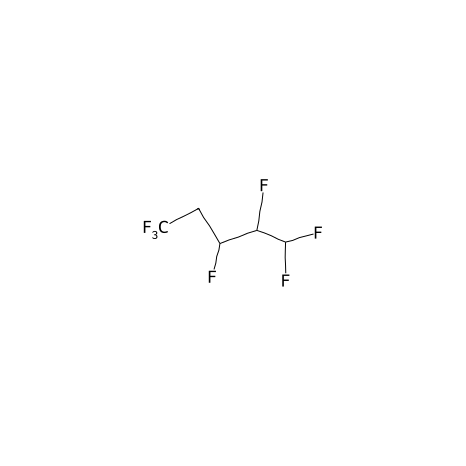 FC(F)C(F)C(F)CC(F)(F)F